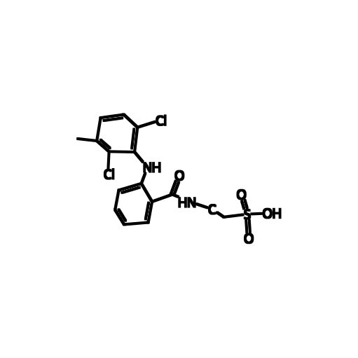 Cc1ccc(Cl)c(Nc2ccccc2C(=O)NCCS(=O)(=O)O)c1Cl